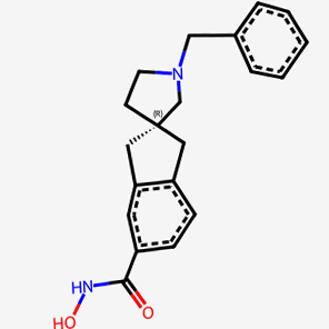 O=C(NO)c1ccc2c(c1)C[C@@]1(CCN(Cc3ccccc3)C1)C2